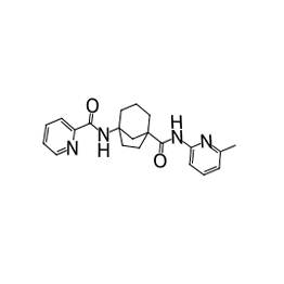 Cc1cccc(NC(=O)C23CCCC(NC(=O)c4ccccn4)(CC2)C3)n1